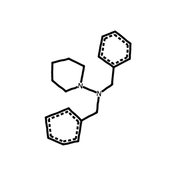 c1ccc(CN(Cc2ccccc2)N2CCCCC2)cc1